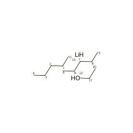 CCCCC.CCCCC.CCO.[LiH]